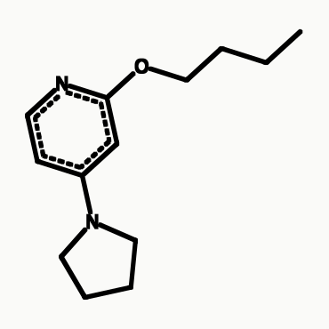 CCCCOc1cc(N2CCCC2)ccn1